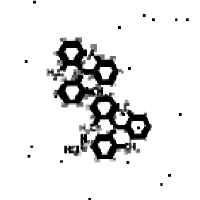 Cc1ccccc1P(c1ccccc1C)c1ccccc1C.Cc1ccccc1P(c1ccccc1C)c1ccccc1C.Cl.Cl